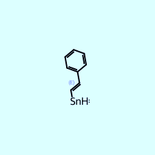 [SnH]/[CH]=C/c1ccccc1